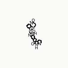 CN1C(=O)CCCn2c(=O)n(Cc3nc4cc5c(cc4[nH]3)CC3(C5)C(=O)Nc4ncccc43)c3cccc1c32